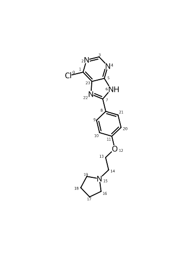 Clc1ncnc2[nH]c(-c3ccc(OCCN4CCCC4)cc3)nc12